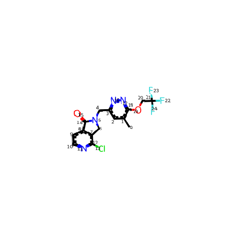 Cc1cc(CN2Cc3c(ccnc3Cl)C2=O)nnc1OCC(F)(F)F